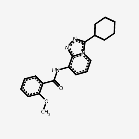 COc1ccccc1C(=O)Nc1cccn2c(C3CCCCC3)nnc12